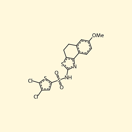 COc1ccc2c(c1)CCc1sc(NS(=O)(=O)c3cc(Cl)c(Cl)s3)nc1-2